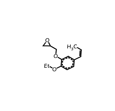 C/C=C\c1ccc(OCC)c(OCC2CO2)c1